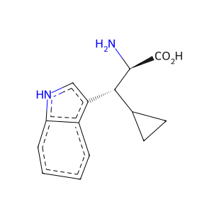 N[C@@H](C(=O)O)[C@@H](c1c[nH]c2ccccc12)C1CC1